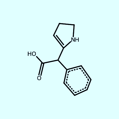 O=C(O)C(C1=CCCN1)c1ccccc1